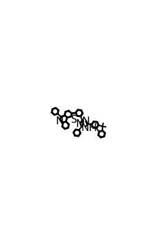 CC1(C)c2ccccc2-c2cc(C3=NC(c4cccc5c4sc4c5ccc5c(-c6ccccc6)nc6ccccc6c54)=NC(c4ccccc4)N3)ccc21